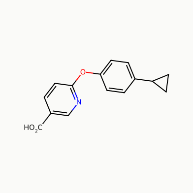 O=C(O)c1ccc(Oc2ccc(C3CC3)cc2)nc1